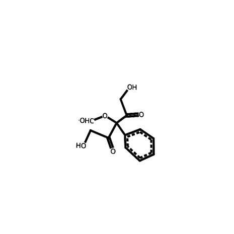 O=[C]OC(C(=O)CO)(C(=O)CO)c1ccccc1